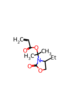 C=CC(=O)OC(C)(C)N1C(=O)OCC1CC